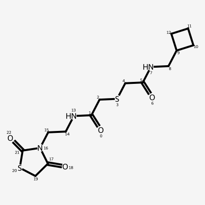 O=C(CSCC(=O)NCC1CCC1)NCCN1C(=O)CSC1=O